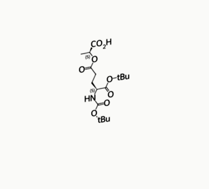 C[C@H](OC(=O)CC[C@H](NC(=O)OC(C)(C)C)C(=O)OC(C)(C)C)C(=O)O